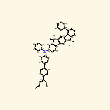 C=C/C=C(\C=C)c1ccc(-c2ccc(N(c3ccccc3)c3ccc4c(c3)C(C)(C)c3cc5c(cc3-4)C(C)(C)c3cccc(-c4ccccc4)c3-5)cc2)cc1